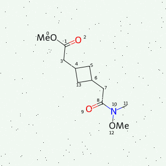 COC(=O)CC1CC(CC(=O)N(C)OC)C1